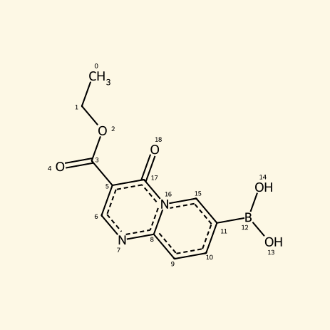 CCOC(=O)c1cnc2ccc(B(O)O)cn2c1=O